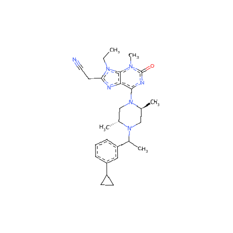 CCn1c(CC#N)nc2c(N3C[C@@H](C)N(C(C)c4cccc(C5CC5)c4)C[C@@H]3C)nc(=O)n(C)c21